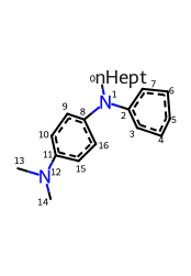 CCCCCCCN(c1ccccc1)c1ccc(N(C)C)cc1